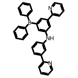 c1ccc(B(c2ccccc2)c2cc(Nc3cccc(-c4ccccn4)c3)cc(-c3ccccn3)c2)cc1